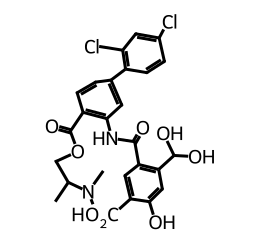 CC(COC(=O)c1ccc(-c2ccc(Cl)cc2Cl)cc1NC(=O)c1cc(C(=O)O)c(O)cc1C(O)O)N(C)C